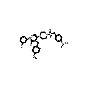 COc1ccc(Cc2c(N3CCN(S(=O)(=O)Cc4ccc([N+](=O)[O-])cc4)CC3)cnn(-c3cccc(Cl)c3)c2=O)cc1